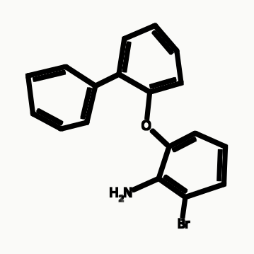 Nc1c(Br)cccc1Oc1ccccc1-c1ccccc1